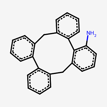 Nc1cccc2c1-c1ccccc1Cc1ccccc1-c1ccccc1C2